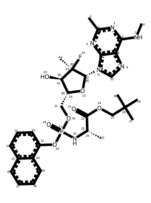 CNc1nc(C)nc2c1ncn2[C@@H]1O[C@H](COP(=O)(N[C@@H](C)C(=O)OCC(C)(C)C)Oc2cccc3ccccc23)[C@@H](O)[C@@]1(C)F